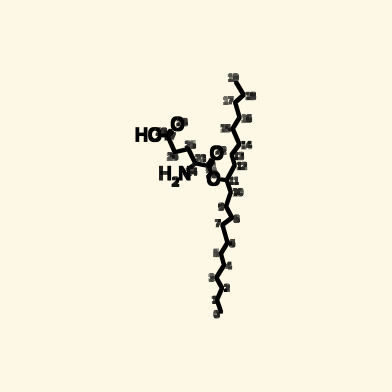 CCCCCCCCCCCC(CCCCCCCC)OC(=O)[C@@H](N)CCC(=O)O